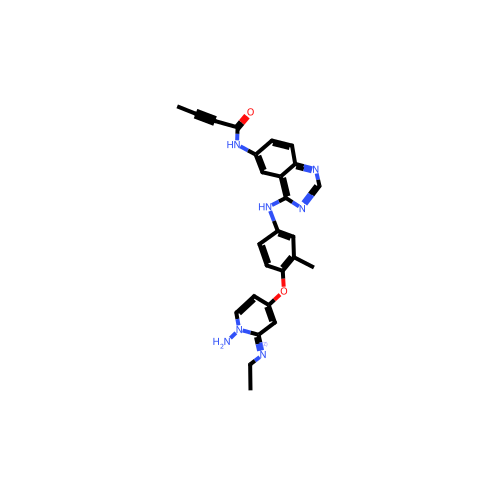 CC#CC(=O)Nc1ccc2ncnc(Nc3ccc(Oc4ccn(N)/c(=N\CC)c4)c(C)c3)c2c1